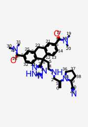 C=C(CNCCC1(c2nn[nH]n2)c2ccc(C(=O)N(C)C)cc2Cc2cc(C(=O)N(C)C)ccc21)N1CCCC1C#N